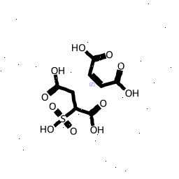 O=C(O)/C=C\C(=O)O.O=C(O)CC(C(=O)O)S(=O)(=O)O